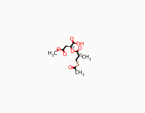 COC(=O)C[C@H](OC(=O)[C@H](C)CSC(C)=O)C(=O)O